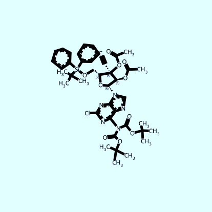 C#C[C@@]1(OC(C)=O)[C@@H](CO[Si](c2ccccc2)(c2ccccc2)C(C)(C)C)O[C@@H](n2cnc3c(N(C(=O)OC(C)(C)C)C(=O)OC(C)(C)C)nc(Cl)nc32)[C@@H]1OC(C)=O